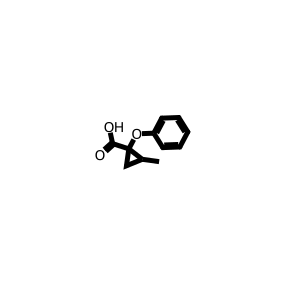 CC1CC1(Oc1ccccc1)C(=O)O